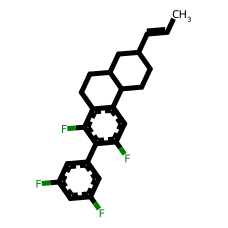 CC=CC1CCC2c3cc(F)c(-c4cc(F)cc(F)c4)c(F)c3CCC2C1